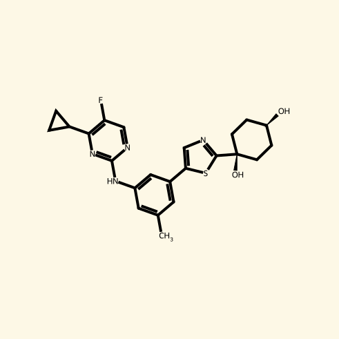 Cc1cc(Nc2ncc(F)c(C3CC3)n2)cc(-c2cnc([C@]3(O)CC[C@@H](O)CC3)s2)c1